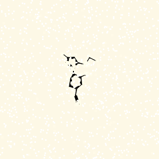 CCOc1cc(C)nn1-c1ccc(C#N)cc1F